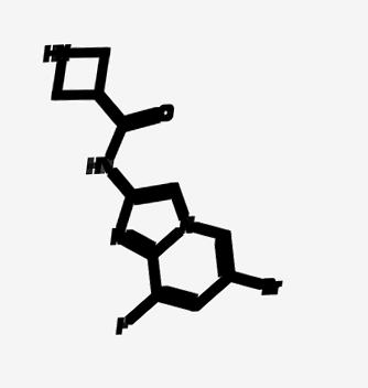 O=C(Nc1cn2cc(Br)cc(F)c2n1)C1CNC1